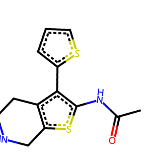 CC(=O)Nc1sc2c(c1-c1cccs1)CCNC2